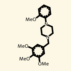 COc1ccccc1N1CCN(Cc2cc(OC)c(OC)c(OC)c2)CC1